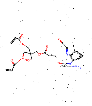 C=CC(=O)OCC(CO)(COC(=O)C=C)COC(=O)C=C.CCOC(N)=O.Cc1cccc(N=C=O)c1N=C=O